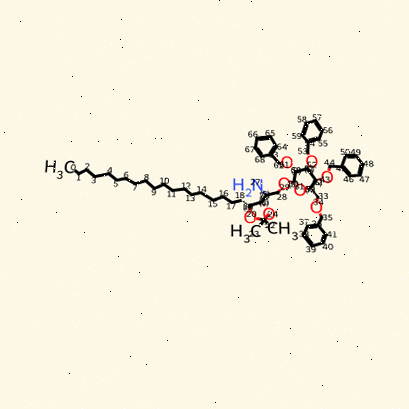 CCCCCCCCCCCCCCCCCCC[C@H]1OC(C)(C)O[C@H]1[C@@H](N)CO[C@H]1O[C@H](COCc2ccccc2)[C@H](OCc2ccccc2)[C@H](OCc2ccccc2)[C@H]1OCc1ccccc1